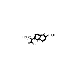 O=C(O)c1ccc2cc(C(C(=O)O)C(F)F)ccc2c1